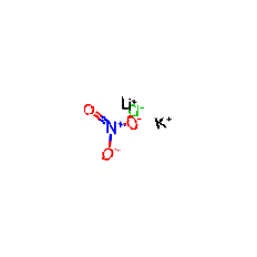 O=[N+]([O-])[O-].[Cl-].[K+].[Li+]